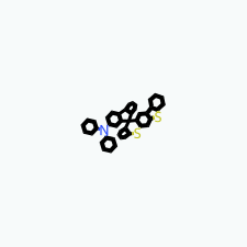 c1ccc(N(c2ccccc2)c2ccc3c(c2)C2(c4ccccc4Sc4cc5sc6ccccc6c5cc42)c2ccccc2-3)cc1